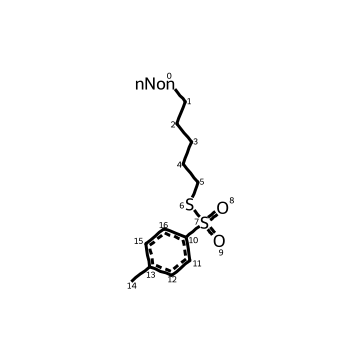 CCCCCCCCCCCCCCSS(=O)(=O)c1ccc(C)cc1